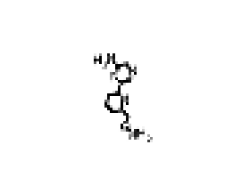 NOCc1cccc(-c2cncc(N)n2)n1